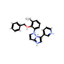 O=[N+]([O-])c1cccc(-n2ccc3ncc(-c4cccnc4)n32)c1OCc1ccccc1